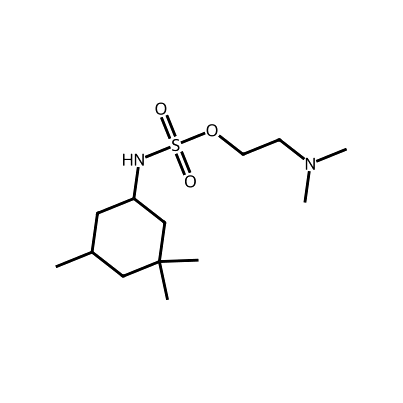 CC1CC(NS(=O)(=O)OCCN(C)C)CC(C)(C)C1